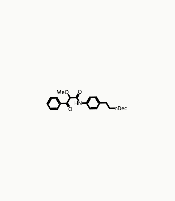 CCCCCCCCCCCCc1ccc(NC(=O)C(OC)C(=O)c2ccccc2)cc1